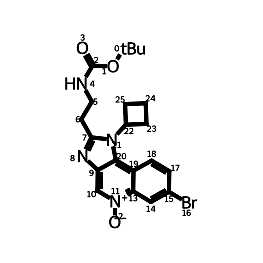 CC(C)(C)OC(=O)NCCc1nc2c[n+]([O-])c3cc(Br)ccc3c2n1C1CCC1